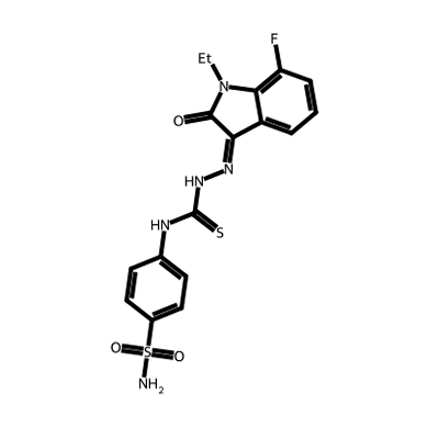 CCN1C(=O)C(=NNC(=S)Nc2ccc(S(N)(=O)=O)cc2)c2cccc(F)c21